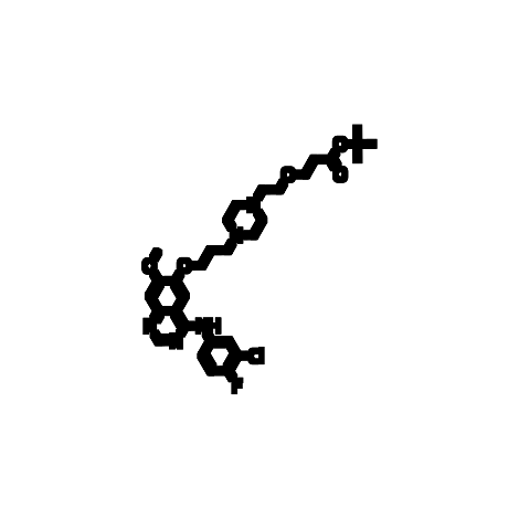 COc1cc2ncnc(Nc3ccc(F)c(Cl)c3)c2cc1OCCCN1CCN(CCOCCC(=O)OC(C)(C)C)CC1